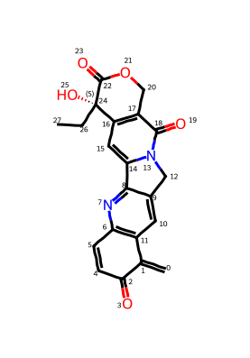 C=C1C(=O)C=Cc2nc3c(cc21)Cn1c-3cc2c(c1=O)COC(=O)[C@]2(O)CC